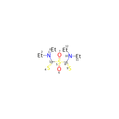 CCN(CC)C(=S)S(=O)(=O)C(=S)N(CC)CC